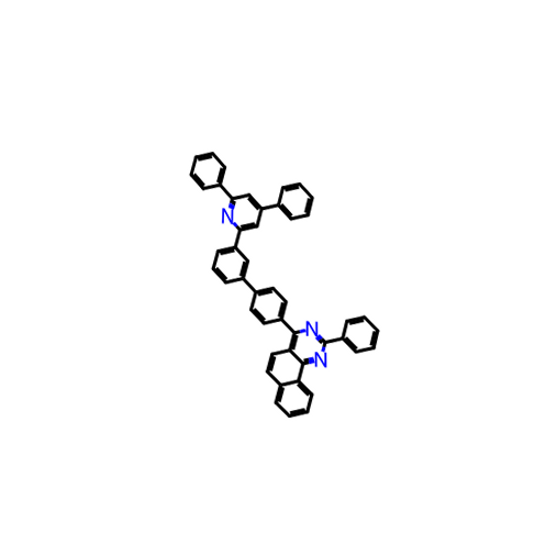 c1ccc(-c2cc(-c3ccccc3)nc(-c3cccc(-c4ccc(-c5nc(-c6ccccc6)nc6c5ccc5ccccc56)cc4)c3)c2)cc1